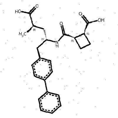 C[C@H](C[C@@H](Cc1ccc(-c2ccccc2)cc1)NC(=O)[C@@H]1CC[C@@H]1C(=O)O)C(=O)O